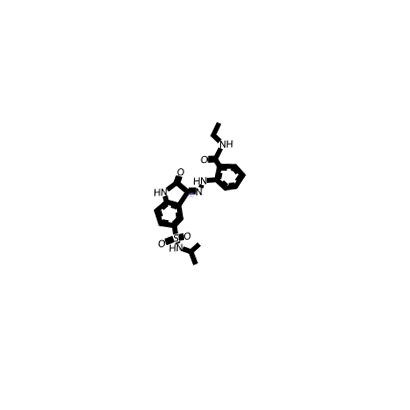 CCNC(=O)c1ccccc1N/N=C1\C(=O)Nc2ccc(S(=O)(=O)NC(C)C)cc21